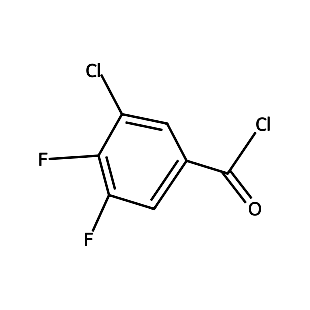 O=C(Cl)c1cc(F)c(F)c(Cl)c1